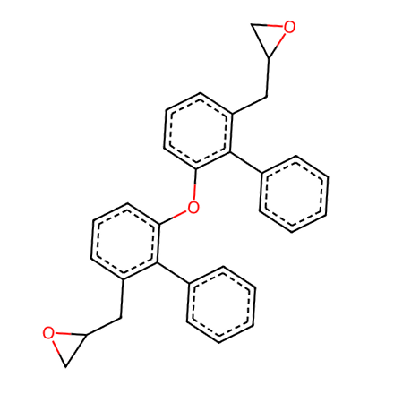 c1ccc(-c2c(CC3CO3)cccc2Oc2cccc(CC3CO3)c2-c2ccccc2)cc1